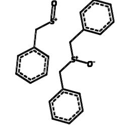 O=[S+]Cc1ccccc1.[O-][S+](Cc1ccccc1)Cc1ccccc1